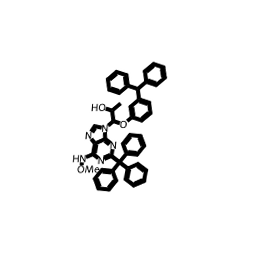 CONc1nc(C(c2ccccc2)(c2ccccc2)c2ccccc2)nc2c1ncn2C(Oc1cccc(C(c2ccccc2)c2ccccc2)c1)C(C)O